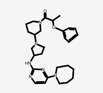 CC(Oc1ccccc1)C(=O)N1CCCC(N2CCC(Nc3nccc(N4CCCCCC4)n3)C2)C1